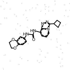 O=C(Nc1ccc2c(c1)OCCO2)Nc1cccn2c(C3CCC3)nnc12